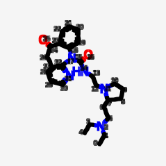 CCN(CC)CCC1CCCN1CCNC(=O)N1c2ccccc2C(=O)Cc2cccnc21